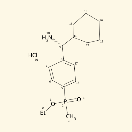 CCOP(C)(=O)c1ccc([C@H](N)C2CCCCC2)cc1.Cl